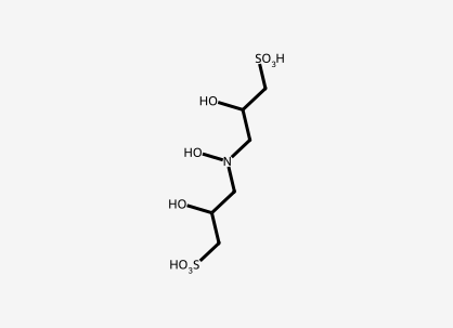 O=S(=O)(O)CC(O)CN(O)CC(O)CS(=O)(=O)O